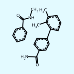 CNC(=O)c1ccccc1.Cc1cccc(-c2ccc(C(N)=O)cc2)c1C